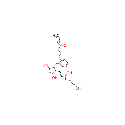 CCCCC[C@H](O)/C=C/[C@@H]1[C@@H](Cc2ccccc2CCCC(=O)OCC)[C@H](O)C[C@H]1O